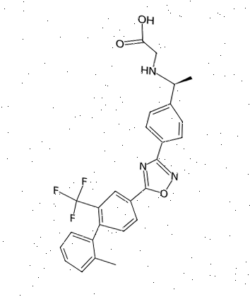 Cc1ccccc1-c1ccc(-c2nc(-c3ccc([C@H](C)NCC(=O)O)cc3)no2)cc1C(F)(F)F